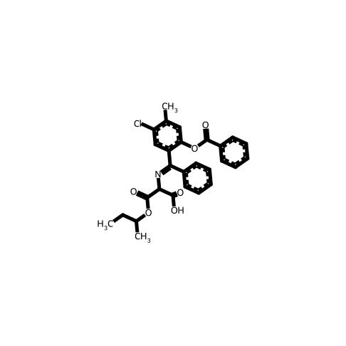 CCC(C)OC(=O)C(N=C(c1ccccc1)c1cc(Cl)c(C)cc1OC(=O)c1ccccc1)C(=O)O